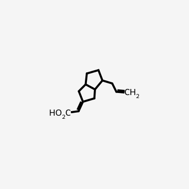 C=CCC1CCC2CC(=CC(=O)O)CC12